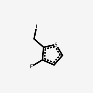 Fc1ccsc1CI